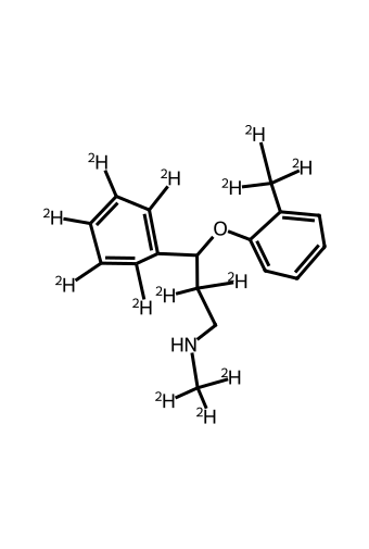 [2H]c1c([2H])c([2H])c(C(Oc2ccccc2C([2H])([2H])[2H])C([2H])([2H])CNC([2H])([2H])[2H])c([2H])c1[2H]